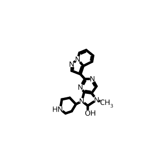 CN1c2cnc(-c3cnn4ccccc34)nc2N(C2CCNCC2)C1O